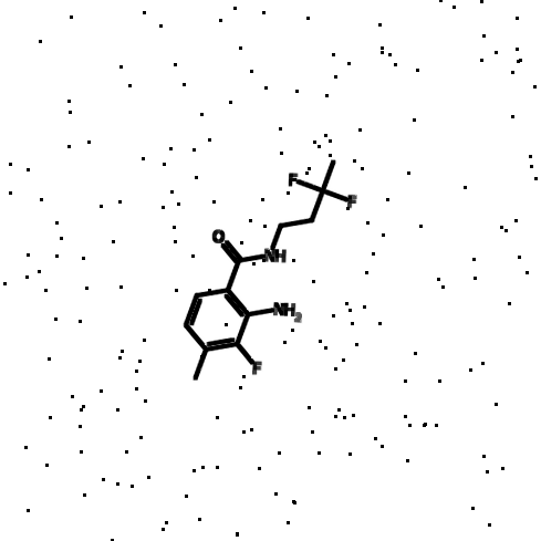 Cc1ccc(C(=O)NCCC(C)(F)F)c(N)c1F